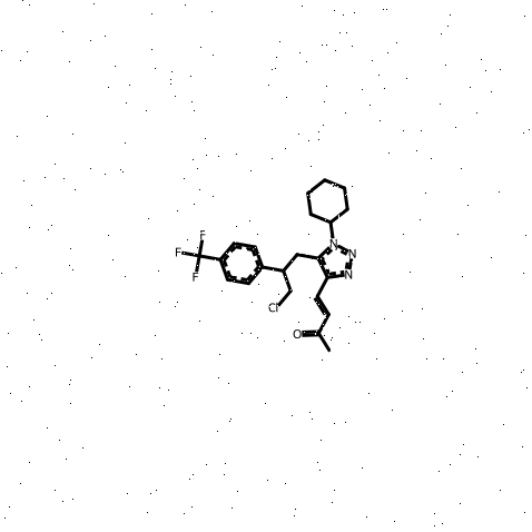 CC(=O)/C=C/c1nnn(C2CCCCC2)c1CC(CCl)c1ccc(C(F)(F)F)cc1